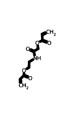 C=CC(=O)OCCNC(=O)COC(=O)C=C